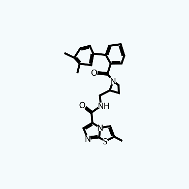 Cc1cn2c(C(=O)NCC3CCN3C(=O)c3ccccc3-c3ccc(C)c(C)c3)cnc2s1